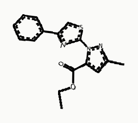 CCOC(=O)c1cc(C)nn1-c1nc(-c2ccccc2)cs1